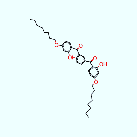 CCCCCCCCOc1ccc(C(=O)c2cccc(C(=O)c3ccc(OCCCCCCCC)cc3O)c2)c(O)c1